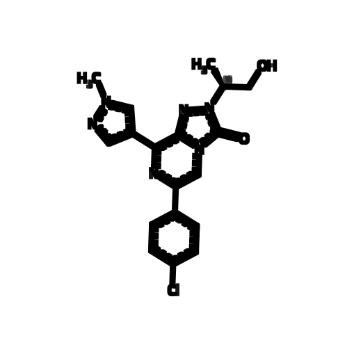 C[C@@H](CO)n1nc2c(-c3cnn(C)c3)nc(-c3ccc(Cl)cc3)cn2c1=O